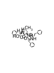 CC(C)C[C@@H](NC(=O)[C@H](Cc1ccccc1)NC(=O)C=Cc1ccccc1)C(=O)N[C@@H](Cc1ccccc1)C(=O)O